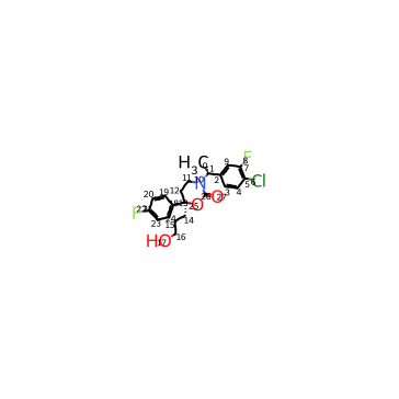 C[C@@H](c1ccc(Cl)c(F)c1)N1CC[C@](CCCO)(c2ccc(F)cc2)OC1=O